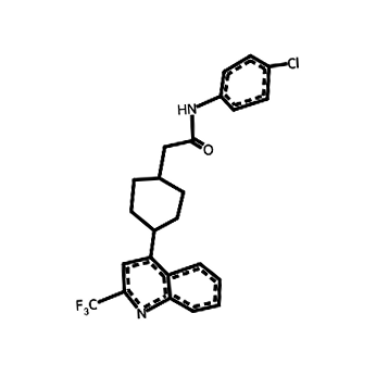 O=C(CC1CCC(c2cc(C(F)(F)F)nc3ccccc23)CC1)Nc1ccc(Cl)cc1